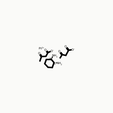 CC(=O)CC(=O)[O-].CC(=O)CC(=O)[O-].N[C@@H]1CCCC[C@H]1N.[Pt+2]